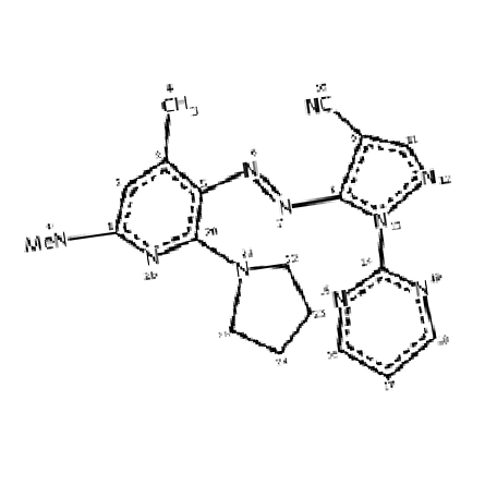 CNc1cc(C)c(/N=N/c2c(C#N)cnn2-c2ncccn2)c(N2CCCC2)n1